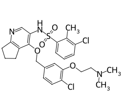 Cc1c(Cl)cccc1S(=O)(=O)Nc1cnc2c(c1OCc1ccc(Cl)c(OCCN(C)C)c1)CCC2